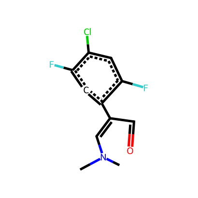 CN(C)/C=C(\C=O)c1cc(F)c(Cl)cc1F